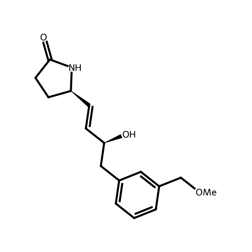 COCc1cccc(C[C@H](O)/C=C/[C@H]2CCC(=O)N2)c1